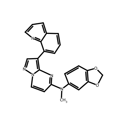 CN(c1ccc2c(c1)OCO2)c1ccn2ncc(-c3cccc4cccnc34)c2n1